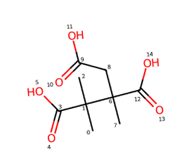 CC(C)(C(=O)O)C(C)(CC(=O)O)C(=O)O